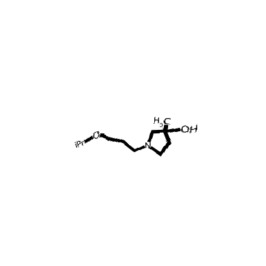 CC(C)OCCCN1CCC(C)(O)C1